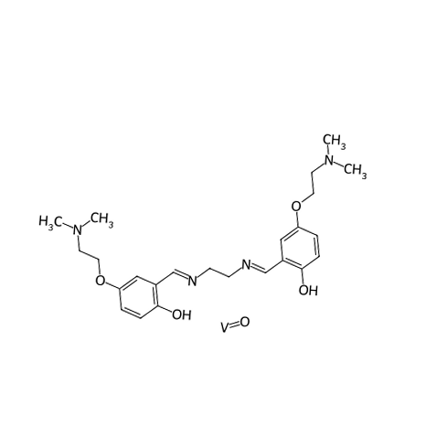 CN(C)CCOc1ccc(O)c(C=NCCN=Cc2cc(OCCN(C)C)ccc2O)c1.[O]=[V]